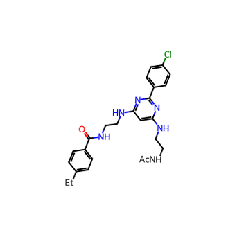 CCc1ccc(C(=O)NCCNc2cc(NCCNC(C)=O)nc(-c3ccc(Cl)cc3)n2)cc1